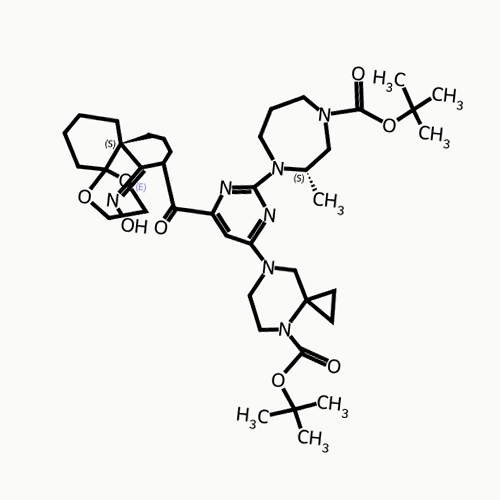 C[C@H]1CN(C(=O)OC(C)(C)C)CCCN1c1nc(C(=O)C2CCC[C@@]3(CCCCC34OCCO4)/C2=N/O)cc(N2CCN(C(=O)OC(C)(C)C)C3(CC3)C2)n1